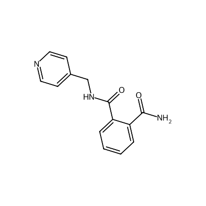 NC(=O)c1ccccc1C(=O)NCc1ccncc1